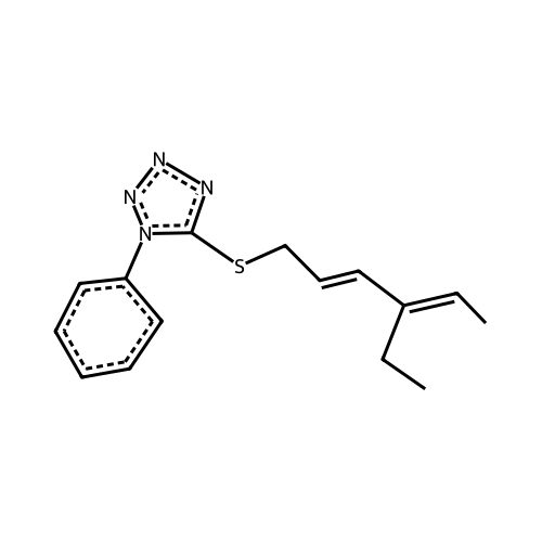 C/C=C(/C=C/CSc1nnnn1-c1ccccc1)CC